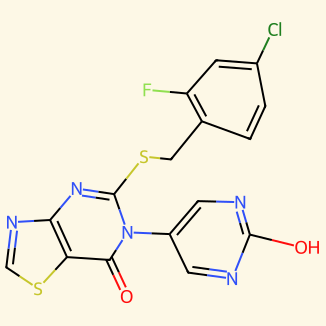 O=c1c2scnc2nc(SCc2ccc(Cl)cc2F)n1-c1cnc(O)nc1